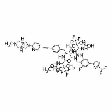 COC(=O)NC(C(=O)NC(Cc1ccc(C#Cc2ccc(N3C[C@H]4CN(C)C[C@H]4C3)nc2)cc1)C(O)CN(Cc1c(F)cc(-c2ccn(C(F)F)n2)cc1F)NC(=O)C(NC(=O)O)C(C)(C)C(F)(F)F)C(C)(C)C(F)(F)F